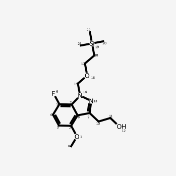 COc1ccc(F)c2c1c(CCO)nn2COCC[Si](C)(C)C